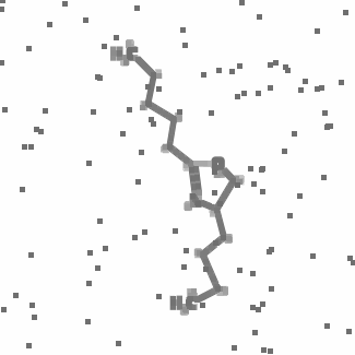 CCCCCC1=NC(CCCC)CO1